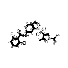 Cc1nn(C(F)F)cc1S(=O)(=O)n1ncc2cnc(NC(=O)c3c(F)cccc3Cl)cc21